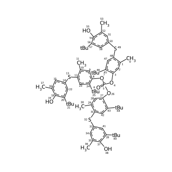 Cc1cc(OP(=O)(Oc2cc(C)c(Sc3cc(C)c(O)c(C(C)(C)C)c3)cc2C(C)(C)C)Oc2cc(C)c(Sc3cc(C)c(O)c(C(C)(C)C)c3)cc2C(C)(C)C)c(C(C)(C)C)cc1Sc1cc(C)c(O)c(C(C)(C)C)c1